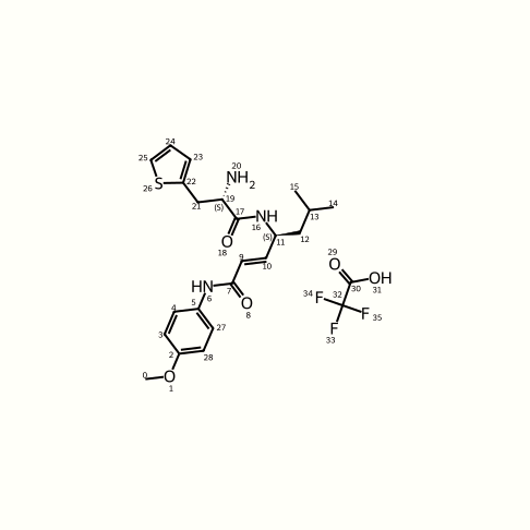 COc1ccc(NC(=O)C=C[C@H](CC(C)C)NC(=O)[C@@H](N)Cc2cccs2)cc1.O=C(O)C(F)(F)F